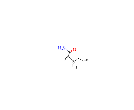 C=CC[SiH2]C(=C)C(N)=O